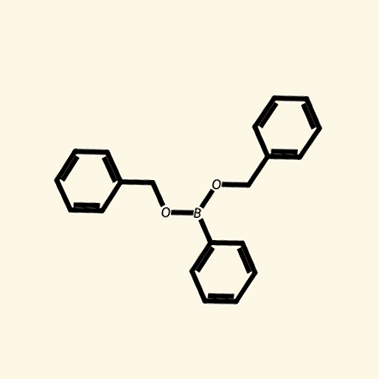 c1ccc(COB(OCc2ccccc2)c2ccccc2)cc1